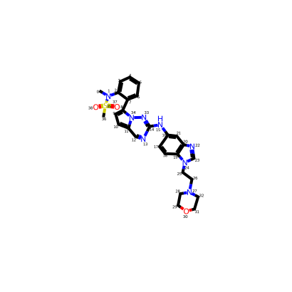 CN(c1ccccc1-c1ccc2cnc(Nc3ccc4c(c3)ncn4CCN3CCOCC3)nn12)S(C)(=O)=O